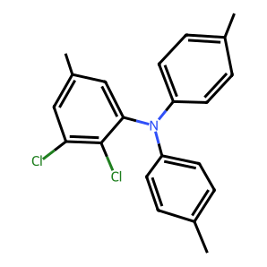 Cc1ccc(N(c2ccc(C)cc2)c2cc(C)cc(Cl)c2Cl)cc1